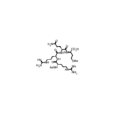 CSCC[C@@H](NC(=O)[C@H](CCC(N)=O)NC(=O)[C@H](CCCNC(=N)N)NC(=O)[C@H](CCCNC(=N)N)NC(C)=O)C(=O)O